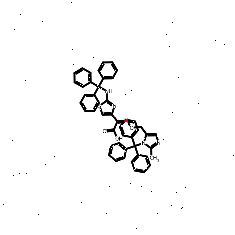 Cc1ncc(CON=C(C(=O)O)c2csc(NC(c3ccccc3)(c3ccccc3)c3ccccc3)n2)n1C(c1ccccc1)(c1ccccc1)c1ccccc1